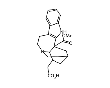 COC(=O)C12CC3CC(CC(=O)O)C1N(CCc1c2[nH]c2ccccc12)C3